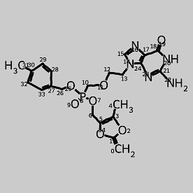 C=C1OC(C)=C(COP(=O)(COCCn2cnc3c(=O)[nH]c(N)nc32)OCc2ccc(C)cc2)O1